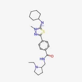 CCN1CCCC1CNC(=O)c1ccc(-c2nn(C)/c(=N\C3CCCCC3)s2)cc1